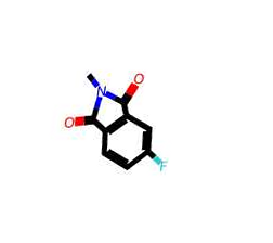 CN1C(=O)c2ccc(F)cc2C1=O